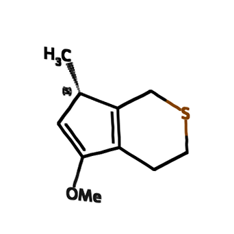 COC1=C[C@H](C)C2=C1CCSC2